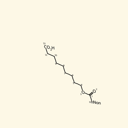 CCCCCCCCCC(=O)OCCCCCCCCC(=O)O